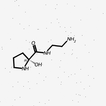 NCCNC(=O)[C@]1(O)CCCN1